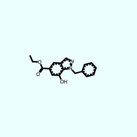 CCOC(=O)c1cc(O)c2c(cnn2Cc2ccccc2)c1